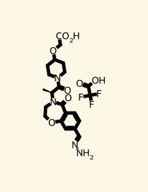 C[C@@H](C(=O)N1CCC(OCC(=O)O)CC1)N1CCOc2cc(C=NN)ccc2C1=O.O=C(O)C(F)(F)F